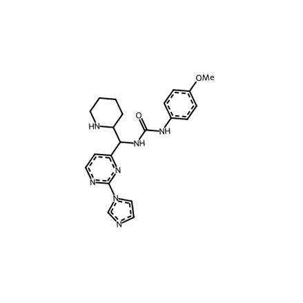 COc1ccc(NC(=O)NC(c2ccnc(-n3ccnc3)n2)C2CCCCN2)cc1